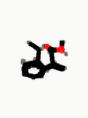 C=C(C(=O)OC)c1ccccc1CC